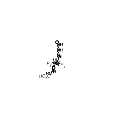 Cc1cc(N(C)C2CCN(C(=O)CCNCC(=O)O)CC2)nc(NCc2cn(CCCNCCCNC3CCCCC3)nn2)n1